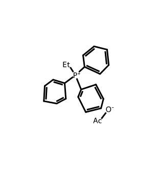 CC(=O)[O-].CC[P+](c1ccccc1)(c1ccccc1)c1ccccc1